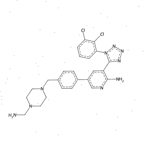 NCN1CCN(Cc2ccc(-c3cnc(N)c(-c4nnnn4-c4cccc(Cl)c4Cl)c3)cc2)CC1